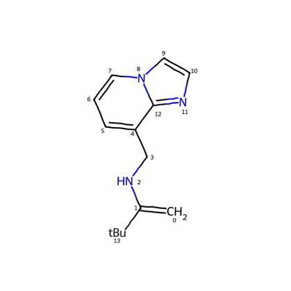 C=C(NCc1cccn2ccnc12)C(C)(C)C